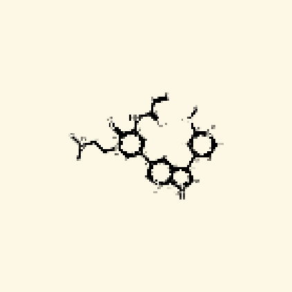 C=CC(=O)Nc1cc(-c2cnc3[nH]cc(-c4ccnc(OC)c4)c3c2)cn(CCN(C)C)c1=O